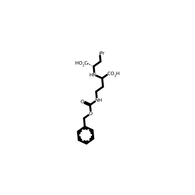 CC(C)C[C@H](NC(CCNC(=O)OCc1ccccc1)C(=O)O)C(=O)O